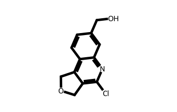 OCc1ccc2c3c(c(Cl)nc2c1)COC3